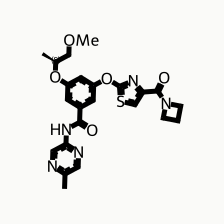 COC[C@H](C)Oc1cc(Oc2nc(C(=O)N3CCC3)cs2)cc(C(=O)Nc2cnc(C)cn2)c1